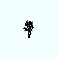 CN(C)C1CCN(c2ncc(-c3c(F)cc4ncc5c6c4c3OCC3(CC3)n6c(=O)n5C)cc2NS(=O)(=O)C2CC2)CC1